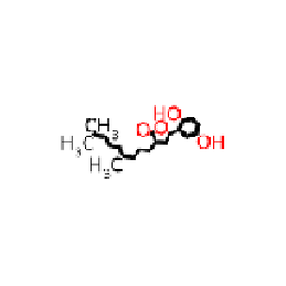 CC(C)=CCCC(C)=CCCC1=CC(c2cc(O)ccc2O)OC1=O